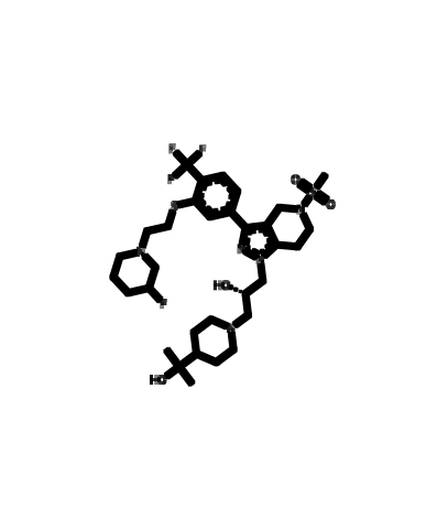 CC(C)(O)C1CCN(C[C@H](O)Cn2nc(-c3ccc(C(F)(F)F)c(SCCN4CCCC(F)C4)c3)c3c2CCN(S(C)(=O)=O)C3)CC1